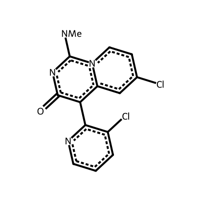 CNc1nc(=O)c(-c2ncccc2Cl)c2cc(Cl)ccn12